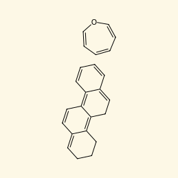 C1=CC=COC=C1.C1=c2ccc3c(c2CCC1)CC=c1ccccc1=3